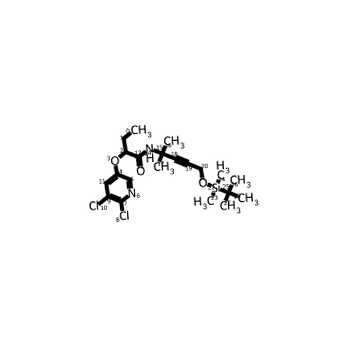 CCC(Oc1cnc(Cl)c(Cl)c1)C(=O)NC(C)(C)C#CCO[Si](C)(C)C(C)(C)C